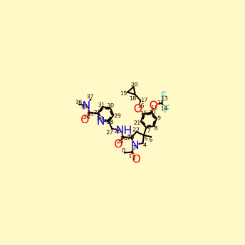 CC(=O)N1CC(C)(c2ccc(OC(F)F)c(OCC3CC3)c2)C[C@@H]1C(=O)NCc1cccc(C(=O)N(C)C)n1